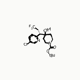 CC(C)(C)OC(=O)N1CCC(O)([C@@H](CC(F)(F)F)c2ccc(Cl)cn2)CC1